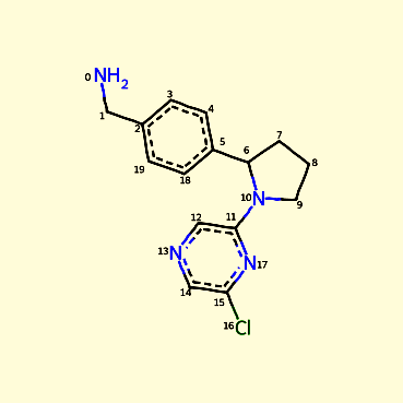 NCc1ccc(C2CCCN2c2cncc(Cl)n2)cc1